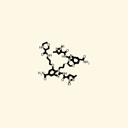 CCn1nc(C)cc1C(=O)Nc1nc2cc(C(N)=O)cc(OCCCNC(=O)C3COCCN3)c2n1CCC[C@H]1COc2cc(C(N)=O)cc3nc(NC(=O)c4cc(C)nn4CC)n1c23